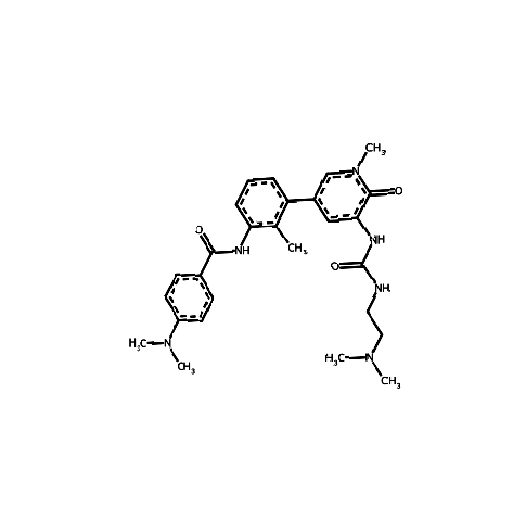 Cc1c(NC(=O)c2ccc(N(C)C)cc2)cccc1-c1cc(NC(=O)NCCN(C)C)c(=O)n(C)c1